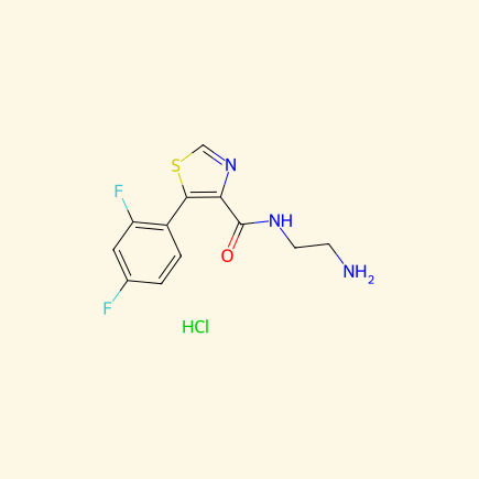 Cl.NCCNC(=O)c1ncsc1-c1ccc(F)cc1F